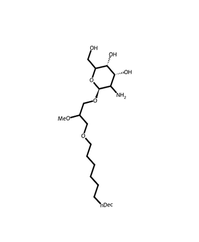 CCCCCCCCCCCCCCCCOCC(CO[C@H]1OC(CO)[C@H](O)[C@H](O)C1N)OC